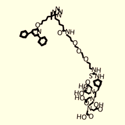 CC(C)(CCCCOc1cc(-c2ccccc2)cc(-c2ccccc2)n1)C1(CCCCC(=O)NCCCOCCOCCOCCCNC(=S)Nc2ccc(C[C@@H](CN(CCN(CC(=O)O)CC(=O)O)CC(=O)O)N(CC(=O)O)CC(=O)O)cc2)N=NN=N1